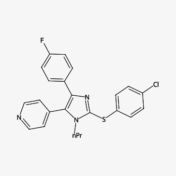 CCCn1c(Sc2ccc(Cl)cc2)nc(-c2ccc(F)cc2)c1-c1ccncc1